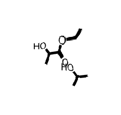 CC(C)O.CCOC(=O)C(C)O